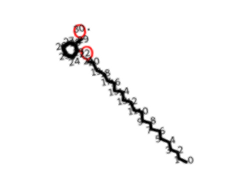 CCCCCCCCCCCCCCCCCCCCCCOc1ccccc1C[O]